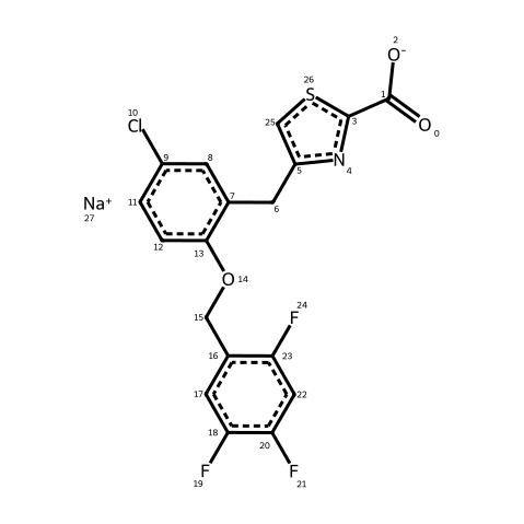 O=C([O-])c1nc(Cc2cc(Cl)ccc2OCc2cc(F)c(F)cc2F)cs1.[Na+]